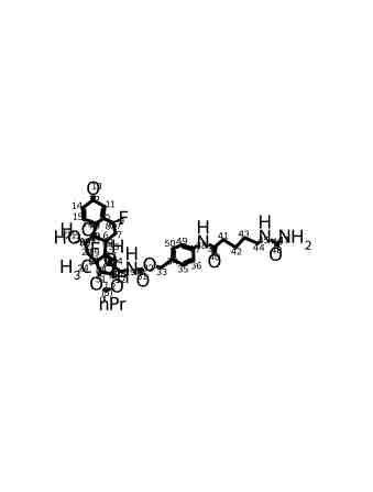 CCC[C@H]1O[C@@H]2CC3[C@@H]4C[C@H](F)C5=CC(=O)C=C[C@]5(C)[C@@]4(F)[C@@H](O)C[C@]3(C)[C@]2(C(=O)CNC(=O)OCc2ccc(NC(=O)CCCCNC(N)=O)cc2)O1